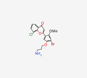 COc1cc(Br)c(OCCCN)cc1-c1cc(=O)c2cccc(Cl)c2o1